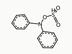 O=[SH](=O)ON(c1ccccc1)c1ccccc1